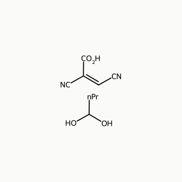 CCCC(O)O.N#CC=C(C#N)C(=O)O